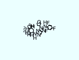 [2H]C1CC(Nc2ncc3nc(Nc4c(F)cc(F)cc4F)n(C4CCOC4)c3n2)C([2H])([2H])C([2H])C1([2H])O